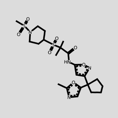 Cc1ncc(C2(c3cc(NC(=O)C(C)(C)S(=O)(=O)C4CCN(S(C)(=O)=O)CC4)on3)CCCC2)o1